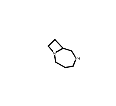 C1CNCC2CCN2C1